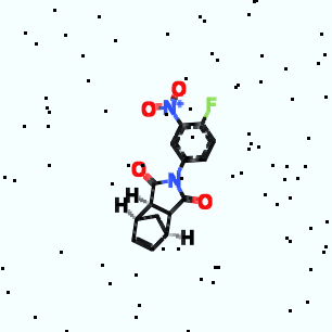 O=C1C2[C@H]3C=C[C@H](C3)[C@H]2C(=O)N1c1ccc(F)c([N+](=O)[O-])c1